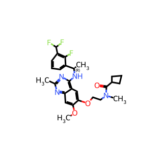 COc1cc2nc(C)nc(N[C@H](C)c3cccc(C(F)F)c3F)c2cc1OCCN(C)C(=O)C1CCC1